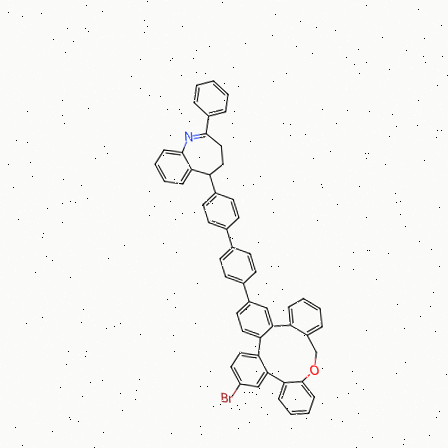 Brc1ccc2c(c1)-c1ccccc1OCc1ccccc1-c1cc(-c3ccc(-c4ccc(C5CCC(c6ccccc6)=Nc6ccccc65)cc4)cc3)ccc1-2